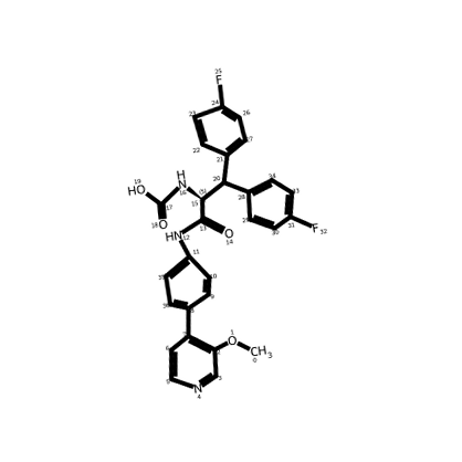 COc1cnccc1-c1ccc(NC(=O)[C@@H](NC(=O)O)C(c2ccc(F)cc2)c2ccc(F)cc2)cc1